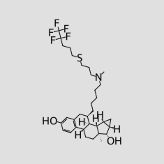 CN(CCCCC[C@@H]1Cc2cc(O)ccc2[C@H]2CC[C@@]3(C)[C@@H]([C@@H]4C[C@@H]4[C@@H]3O)[C@H]12)CCCSCCCC(F)(F)C(F)(F)F